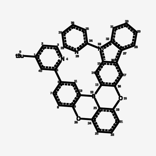 CC(C)(C)c1ccnc(-c2ccc3c(c2)B2c4cc5c(cc4Oc4cccc(c42)O3)c2ccccc2n5-c2ccccn2)c1